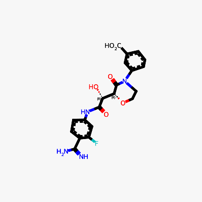 N=C(N)c1ccc(NC(=O)[C@H](O)[C@H]2OCCN(c3cccc(C(=O)O)c3)C2=O)cc1F